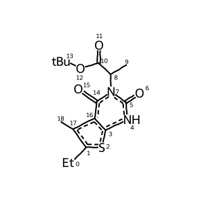 CCc1sc2[nH]c(=O)n(C(C)C(=O)OC(C)(C)C)c(=O)c2c1C